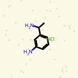 CC(N)c1cccc(N)c1.Cl